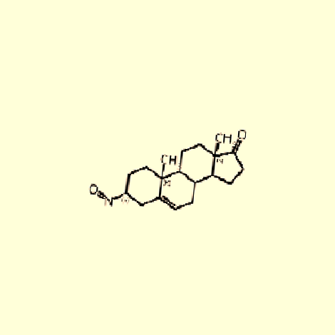 C[C@]12CC[C@H](N=O)CC1=CCC1C2CC[C@]2(C)C(=O)CCC12